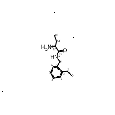 CCc1ccccc1CNC(=O)C(N)CC